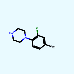 O=Nc1ccc(N2CCNCC2)c(F)c1